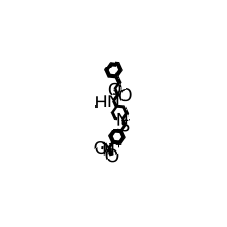 O=C(NC1CCN(Sc2ccc([N+](=O)[O-])cc2)CC1)OCc1ccccc1